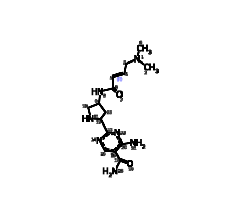 CN(C)C/C=C/C(=O)NC1CNC(c2ncc(C(N)=O)c(N)n2)C1